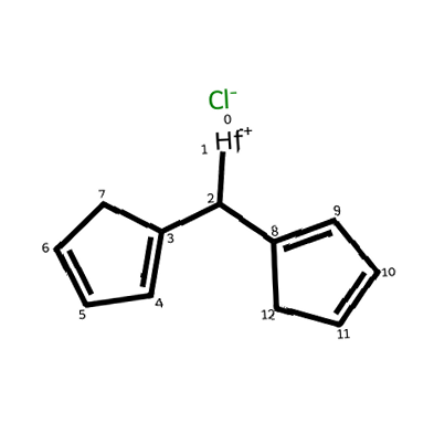 [Cl-].[Hf+][CH](C1=CC=CC1)C1=CC=CC1